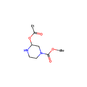 CCC(=O)OC1CN(C(=O)OC(C)(C)C)CCN1